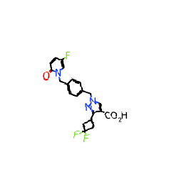 O=C(O)c1cn(Cc2ccc(Cn3cc(F)ccc3=O)cc2)nc1C1CC(F)(F)C1